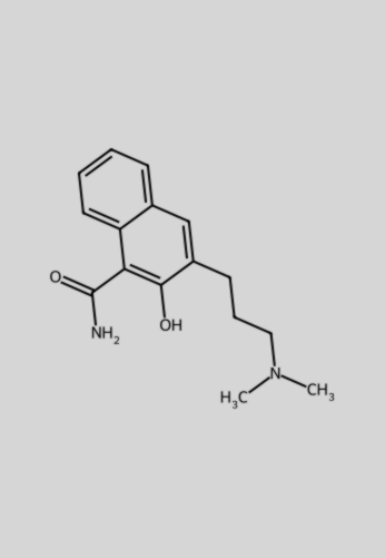 CN(C)CCCc1cc2ccccc2c(C(N)=O)c1O